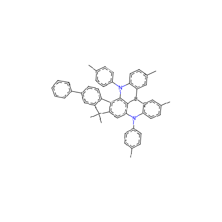 Cc1ccc(N2c3ccc(C)cc3B3c4cc(C)ccc4N(c4ccc(C)cc4)c4c3c2cc2c4-c3ccc(-c4ccccc4)cc3C2(C)C)cc1